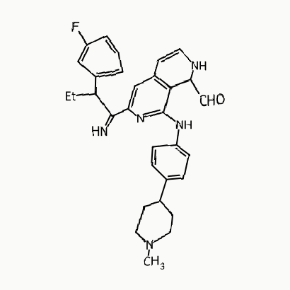 CCC(C(=N)c1cc2c(c(Nc3ccc(C4CCN(C)CC4)cc3)n1)C(C=O)NC=C2)c1cccc(F)c1